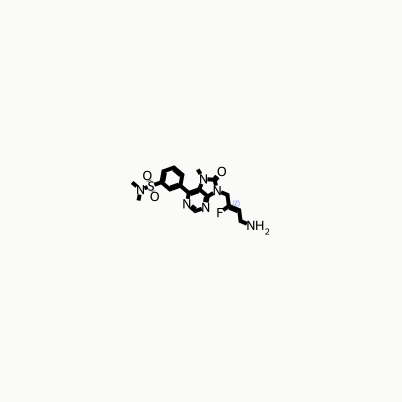 CN(C)S(=O)(=O)c1cccc(-c2ncnc3c2n(C)c(=O)n3C/C(F)=C/CN)c1